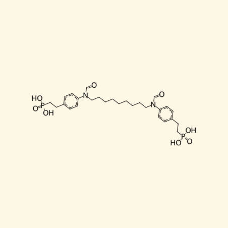 O=CN(CCCCCCCCCN(C=O)c1ccc(CCP(=O)(O)O)cc1)c1ccc(CCP(=O)(O)O)cc1